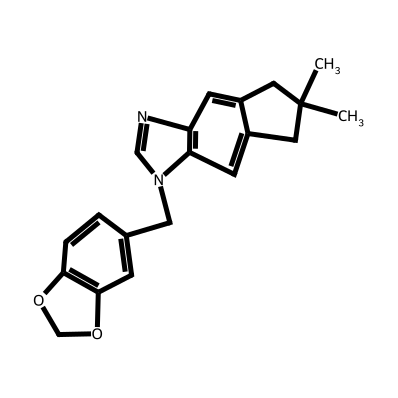 CC1(C)Cc2cc3ncn(Cc4ccc5c(c4)OCO5)c3cc2C1